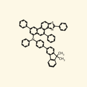 CC1(C)C2=C(C=C=C=C2)c2cc(-c3ccc(N(c4ccccc4)c4cc(-c5ccccc5)cc5c4cc(-c4ccccc4)c4c5ccc5sc(-c6ccccc6)nc54)cc3)ccc21